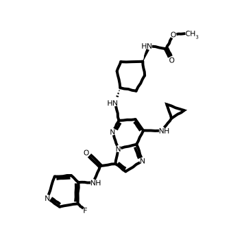 COC(=O)N[C@H]1CC[C@H](Nc2cc(NC3CC3)c3ncc(C(=O)Nc4ccncc4F)n3n2)CC1